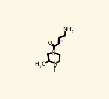 CC1CN(C(=O)/C=C/CN)CCN1I